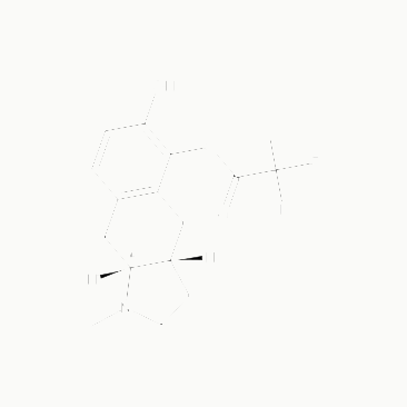 CN1CC[C@H]2Cc3c(ccc(O)c3OC(=O)C(F)(F)F)C[C@H]21